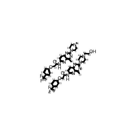 Cc1nc(N2CCN(C)CC2)nc2ccc(NC(=O)COc3ccc(C(F)(F)F)cc3)nc12.Cc1nc(N2CCN(CCO)CC2)nc2ccc(NC(=O)COc3ccc(C(F)(F)F)cc3)nc12